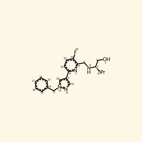 CC(C)[C@H](CO)NCc1nc(-c2cnn(Cc3ccccc3)c2)ccc1F